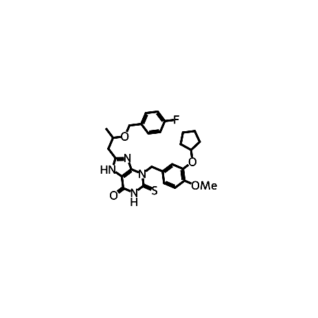 COc1ccc(Cn2c(=S)[nH]c(=O)c3[nH]c(CC(C)OCc4ccc(F)cc4)nc32)cc1OC1CCCC1